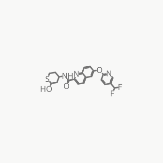 O=C(NC1CCSC(O)C1)c1ccc2cc(Oc3ccc(C(F)F)cn3)ccc2n1